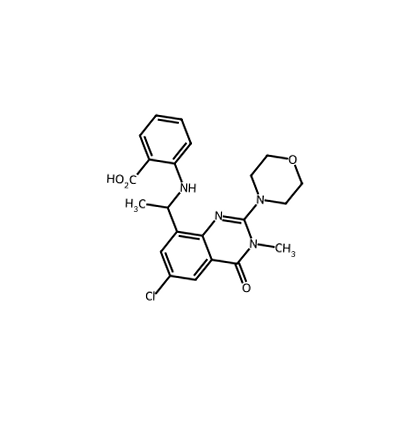 CC(Nc1ccccc1C(=O)O)c1cc(Cl)cc2c(=O)n(C)c(N3CCOCC3)nc12